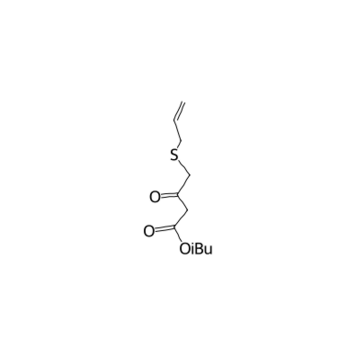 C=CCSCC(=O)CC(=O)OCC(C)C